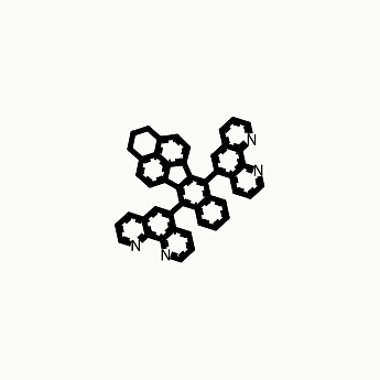 c1cnc2c(c1)cc(-c1c3c(c(-c4cc5cccnc5c5ncccc45)c4ccccc14)-c1ccc4c5c(ccc-3c15)CCC4)c1cccnc12